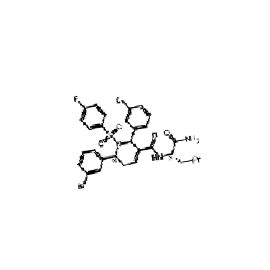 CC(C)C[C@H](NC(=O)C1=CC[C@@H](c2cccc(Br)c2)N(S(=O)(=O)c2ccc(F)cc2)C1c1cccc(Cl)c1)C(N)=O